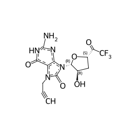 C#CCn1c(=O)n([C@@H]2O[C@H](C(=O)C(F)(F)F)C[C@H]2O)c2nc(N)[nH]c(=O)c21